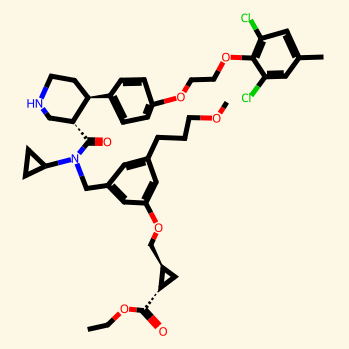 CCOC(=O)[C@H]1C[C@@H]1COc1cc(CCCOC)cc(CN(C(=O)[C@@H]2CNCC[C@H]2c2ccc(OCCOc3c(Cl)cc(C)cc3Cl)cc2)C2CC2)c1